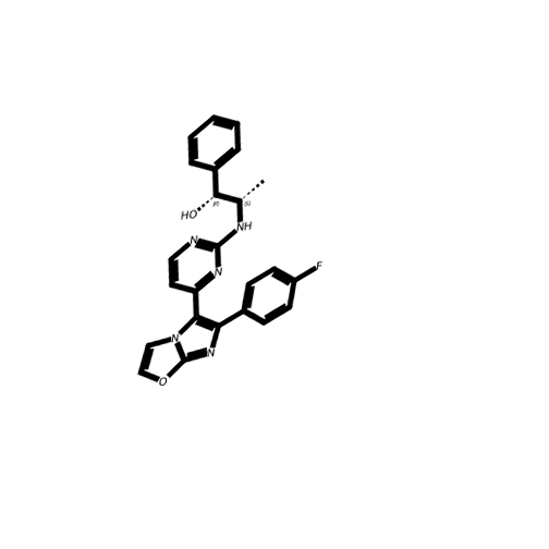 C[C@H](Nc1nccc(-c2c(-c3ccc(F)cc3)nc3occn23)n1)[C@H](O)c1ccccc1